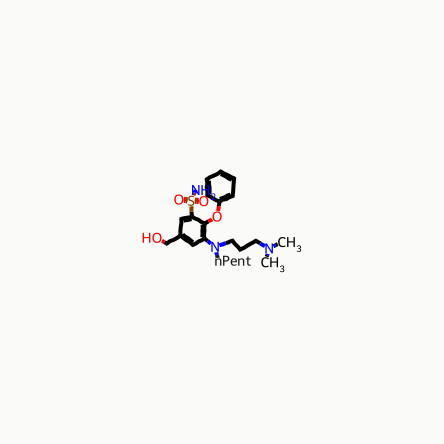 CCCCCN(CCCN(C)C)c1cc(CO)cc(S(N)(=O)=O)c1Oc1ccccc1